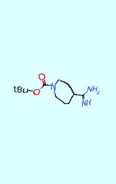 CC(C)(C)OC(=O)N1CCC(C(=N)N)CC1